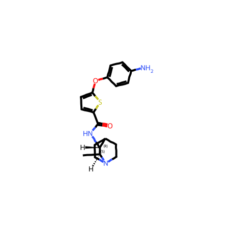 C[C@H]1[C@H](NC(=O)c2ccc(Oc3ccc(N)cc3)s2)C2CCN1CC2